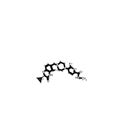 CNC(=O)c1ccc(N2CCN(Cc3ccc4c(c3F)NC(=O)[C@@H](C3CC3)O4)CC2)c(F)n1